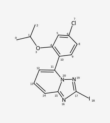 CC(C)Oc1cc(Cl)ccc1-c1cccc2nc(I)nn12